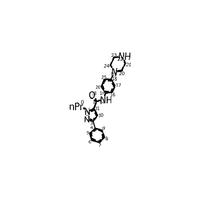 CCCn1nc(-c2ccccc2)cc1C(=O)Nc1ccc(N2CCNCC2)cc1